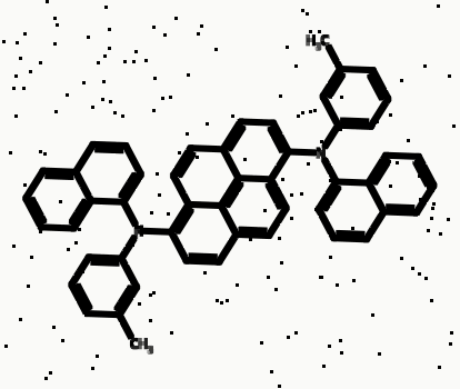 Cc1cccc(N(c2cccc3ccccc23)c2ccc3ccc4c(N(c5cccc(C)c5)c5cccc6ccccc56)ccc5ccc2c3c54)c1